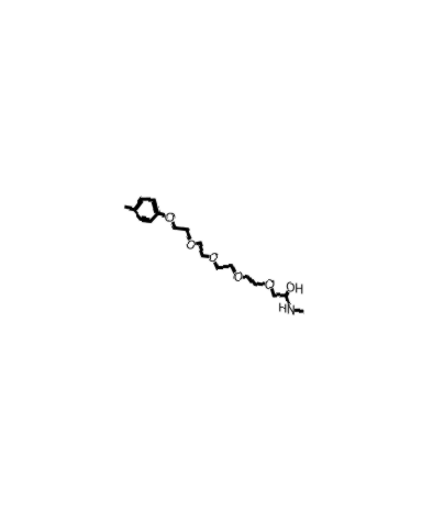 CNC(O)COCCOCCOCCOCCOc1ccc(C)cc1